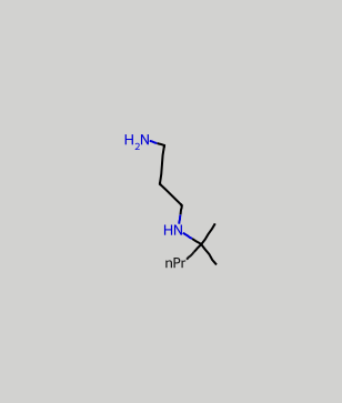 CCCC(C)(C)NCCCN